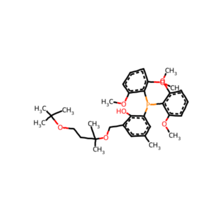 COc1cccc(OC)c1P(c1cc(C)cc(COC(C)(C)CCOC(C)(C)C)c1O)c1c(OC)cccc1OC